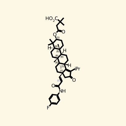 CC(C)C1=C2[C@H]3CC[C@@H]4[C@@]5(C)CC[C@H](OC(=O)CC(C)(C)C(=O)O)C(C)(C)[C@@H]5CC[C@@]4(C)[C@]3(C)CC[C@@]2(/C=C/C(=O)Nc2ccc(F)cc2)CC1=O